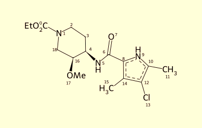 CCOC(=O)N1CC[C@@H](NC(=O)c2[nH]c(C)c(Cl)c2C)[C@@H](OC)C1